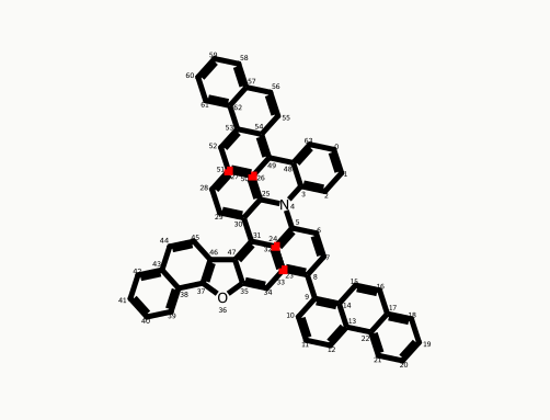 c1ccc(N(c2ccc(-c3cccc4c3ccc3ccccc34)cc2)c2ccccc2-c2cccc3oc4c5ccccc5ccc4c23)c(-c2cccc3c2ccc2ccccc23)c1